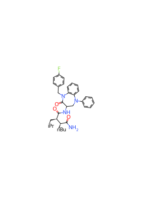 CCCC[C@H](C(N)=O)[C@@H](CC(C)C)C(=O)NC1CN(c2ccccc2)c2ccccc2N(Cc2ccc(F)cc2)C1=O